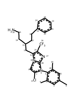 Cc1cc(C)c(-n2c(Cl)cn3c(CC(CCN)CCc4ccccc4)c(C(F)(F)F)nc23)c(C)c1